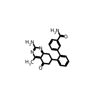 Cc1nc(N)nc2c1C(=O)CC(c1ccccc1-c1cccc(C(N)=O)c1)C2